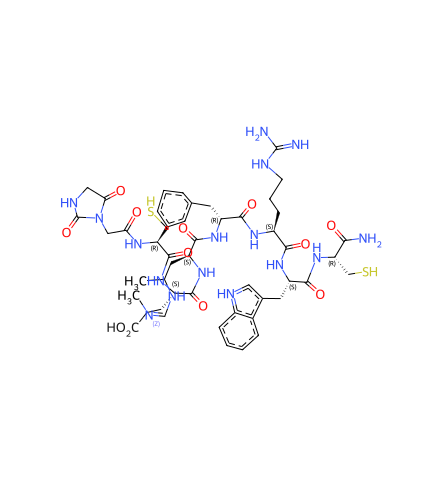 C/N=C\NC(C)C[C@H](NC(=O)[C@H](CCC(=O)O)NC(=O)[C@H](CS)NC(=O)CN1C(=O)CNC1=O)C(=O)N[C@H](Cc1ccccc1)C(=O)N[C@@H](CCCNC(=N)N)C(=O)N[C@@H](Cc1c[nH]c2ccccc12)C(=O)N[C@@H](CS)C(N)=O